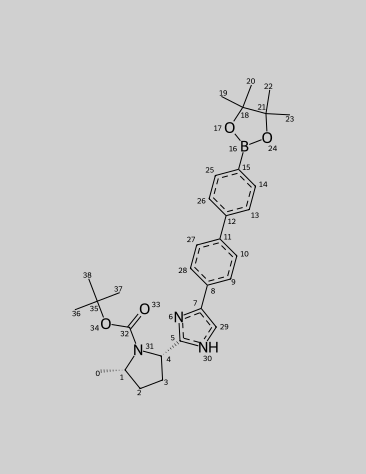 C[C@H]1CC[C@@H](c2nc(-c3ccc(-c4ccc(B5OC(C)(C)C(C)(C)O5)cc4)cc3)c[nH]2)N1C(=O)OC(C)(C)C